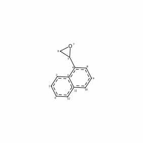 c1ccc2c(C3CO3)cccc2c1